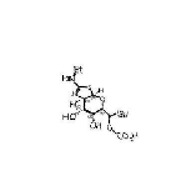 CCNC1=N[C@@H]2[C@@H](O)[C@H](O)[C@H](C(OC(=O)O)C(C)(C)C)O[C@@H]2S1